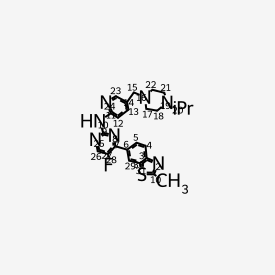 Cc1nc2ccc(-c3nc(Nc4ccc(CN5CCN(C(C)C)CC5)cn4)ncc3F)cc2s1